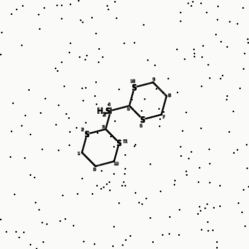 C1CSC([SiH2]C2SCCCS2)SC1